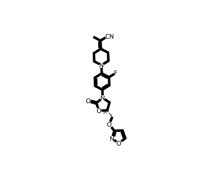 CC(C#N)=C1CCN(c2ccc(N3C[C@H](COc4ccon4)OC3=O)cc2F)CC1